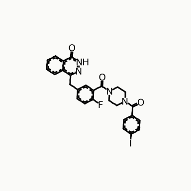 O=C(c1ccc(I)cc1)N1CCN(C(=O)c2cc(Cc3n[nH]c(=O)c4ccccc34)ccc2F)CC1